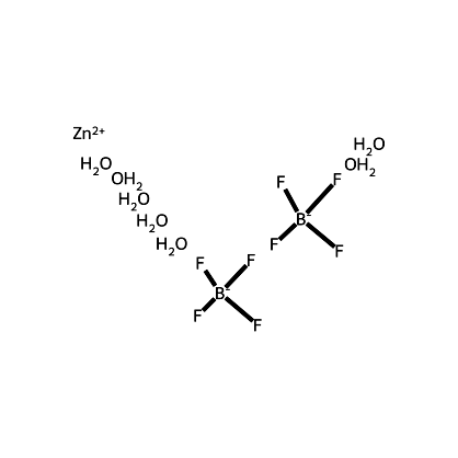 F[B-](F)(F)F.F[B-](F)(F)F.O.O.O.O.O.O.O.[Zn+2]